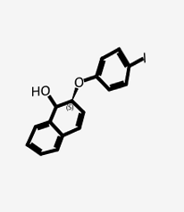 OC1c2ccccc2C=C[C@@H]1Oc1ccc(I)cc1